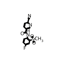 CS(=O)(=O)c1cc(F)ccc1NC(=O)c1ccc(C#N)nc1